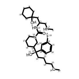 CNCC(CC1(O)CCCCC1)NC(=O)N1CCCC([C@@](O)(CCCCOC)c2cccc(F)c2)C1